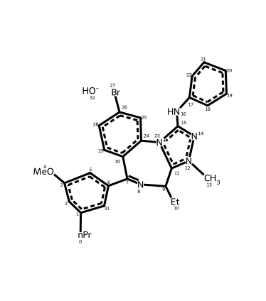 CCCc1cc(OC)cc(C2=NC(CC)c3n(C)nc(Nc4ccccc4)[n+]3-c3cc(Br)ccc32)c1.[OH-]